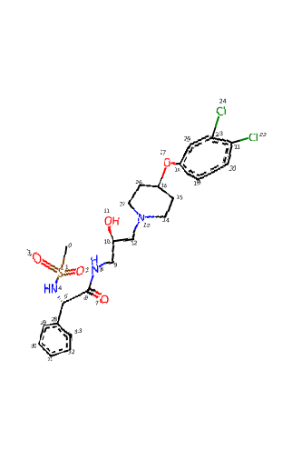 CS(=O)(=O)N[C@H](C(=O)NC[C@@H](O)CN1CCC(Oc2ccc(Cl)c(Cl)c2)CC1)c1ccccc1